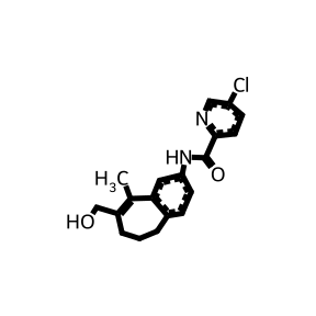 CC1=C(CO)CCCc2ccc(NC(=O)c3ccc(Cl)cn3)cc21